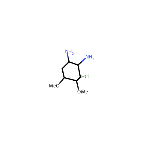 COC1CC(N)C(N)CC1OC.Cl